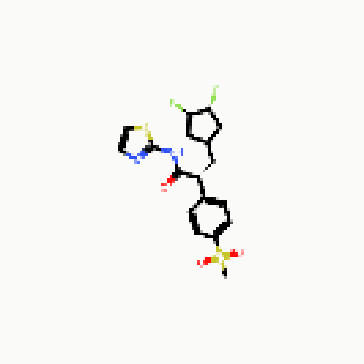 CS(=O)(=O)c1ccc([C@@H](CC2C[C@@H](F)[C@@H](F)C2)C(=O)Nc2nccs2)cc1